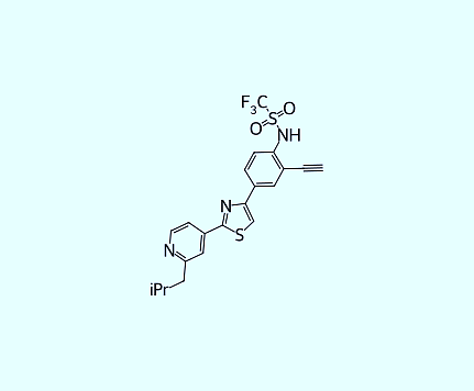 C#Cc1cc(-c2csc(-c3ccnc(CC(C)C)c3)n2)ccc1NS(=O)(=O)C(F)(F)F